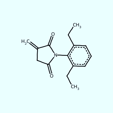 C=C1CC(=O)N(c2c(CC)cccc2CC)C1=O